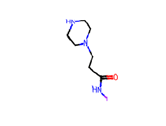 O=C(CCN1CCNCC1)NI